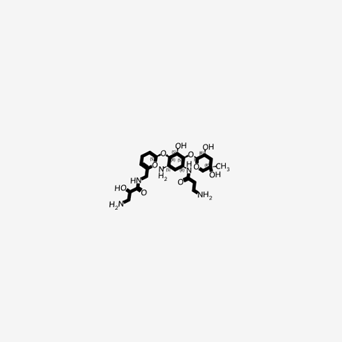 C[C@]1(O)CO[C@H](O[C@@H]2[C@@H](O)[C@H](O[C@@H]3CCC=C(CNC(=O)C(O)CN)O3)[C@@H](N)C[C@H]2NC(=O)CCN)[C@H](O)C1